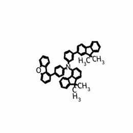 CC1(C)c2ccccc2-c2ccc(-c3cccc(N(c4ccc(-c5cccc6oc7ccccc7c56)cc4)c4cccc5c4-c4ccccc4C5(C)C)c3)cc21